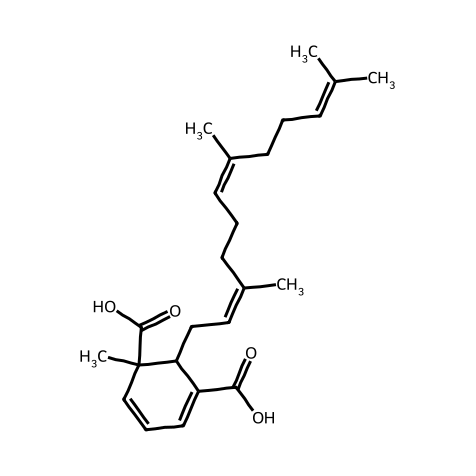 CC(C)=CCCC(C)=CCCC(C)=CCC1C(C(=O)O)=CC=CC1(C)C(=O)O